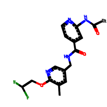 CCC(=O)Nc1cc(C(=O)NCc2cnc(OCC(F)F)c(C)c2)ccn1